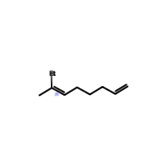 C=CCCC/C=C(/C)CC